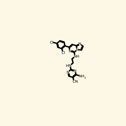 N#Cc1cnc(NCCNc2nc(-c3ccc(Cl)cc3Cl)cc3nccn23)nc1N